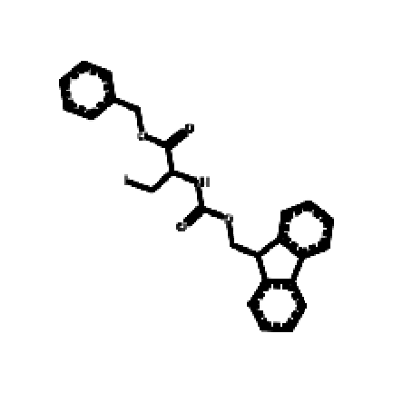 O=C(NC(CI)C(=O)OCc1ccccc1)OCC1c2ccccc2-c2ccccc21